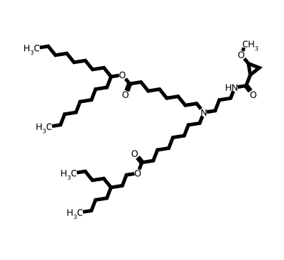 CCCCCCCCC(CCCCCCCC)OC(=O)CCCCCCCN(CCCCCCCC(=O)OCCC(CCCC)CCCC)CCCNC(=O)C1CC1OC